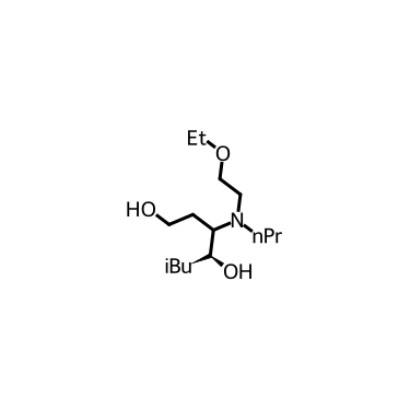 CCCN(CCOCC)C(CCO)[C@@H](O)[C@H](C)CC